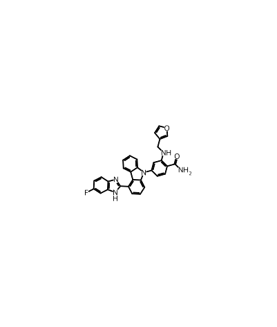 NC(=O)c1ccc(-n2c3ccccc3c3c(-c4nc5ccc(F)cc5[nH]4)cccc32)cc1NCc1ccoc1